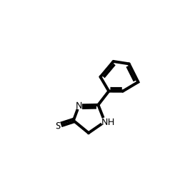 S=C1CNC(c2ccccc2)=N1